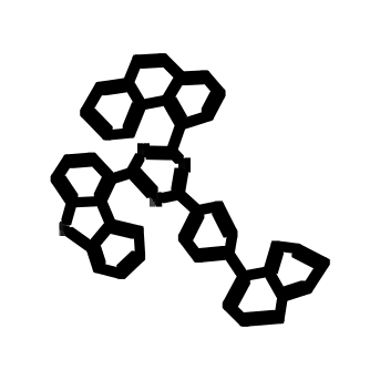 c1ccc2c(-c3ccc(-c4nc(-c5cccc6ccc7ccccc7c56)nc(-c5cccc6sc7ccccc7c56)n4)cc3)cccc2c1